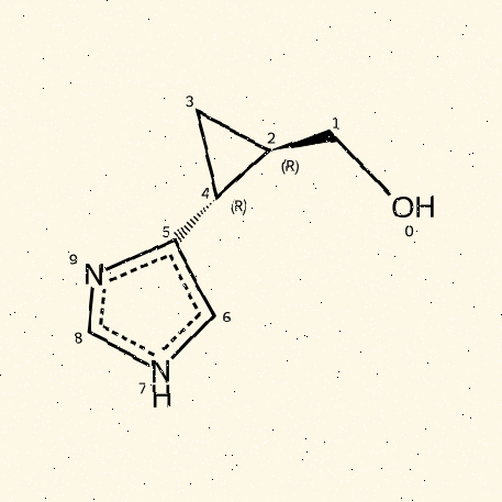 OC[C@@H]1C[C@H]1c1c[nH]cn1